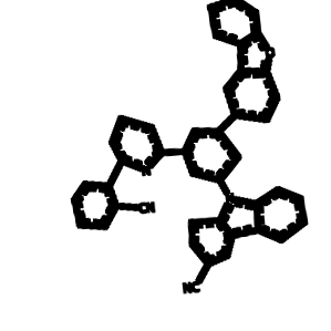 N#Cc1ccc2c(c1)c1ccccc1n2-c1cc(-c2ccc3oc4ccccc4c3c2)cc(-c2cccc(-c3ccccc3C#N)n2)c1